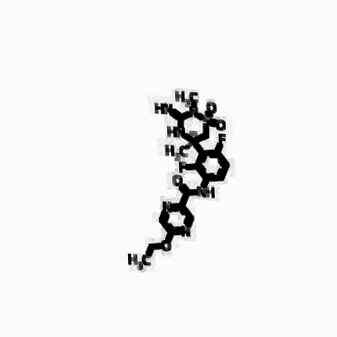 CCOc1cnc(C(=O)Nc2ccc(F)c([C@]3(C)CS(=O)(=O)N(C)C(=N)N3)c2F)cn1